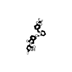 O=C1CCC(N2Cc3cc(OC[C@H]4CCCCN4Cc4ccc5c(c4)OC(F)(F)O5)ccc3C2=O)C(=O)N1